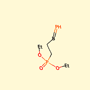 CCOP(=O)(CCB=P)OCC